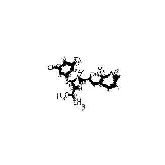 Cc1ncccc1CC(O)c1nc(C(C)C)c(Sc2cc(Cl)cc(Cl)c2)[nH]1